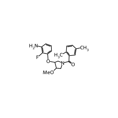 COC1CN(C(=O)c2cc(C)ccc2C)CC1Oc1cccc(N)c1F